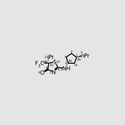 CCC[C@@H]1CC[C@@H](NC2=NC(=O)[C@@](C(C)C)(C(F)(F)F)S2)C1